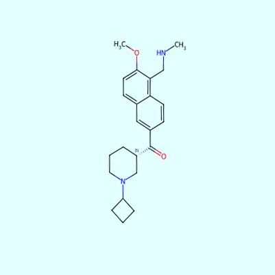 CNCc1c(OC)ccc2cc(C(=O)[C@H]3CCCN(C4CCC4)C3)ccc12